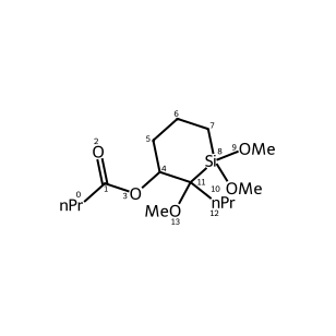 CCCC(=O)OC1CCC[Si](OC)(OC)C1(CCC)OC